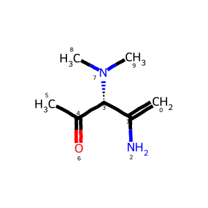 C=C(N)[C@H](C(C)=O)N(C)C